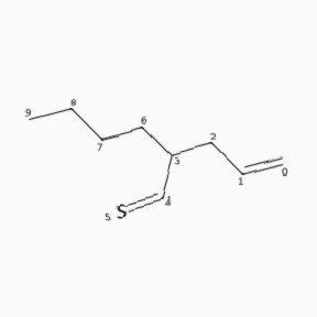 C=CCC([C]=S)CCCC